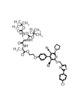 C[C@H](NC(=O)[C@H](CNC(=O)OC(C)(C)C)NC(=O)OC(C)(C)C)C(=O)OCCOc1ccc(-c2c(C#N)c(SCc3csc(-c4ccc(Cl)cc4)n3)nc(N3CCCC3)c2C#N)cc1